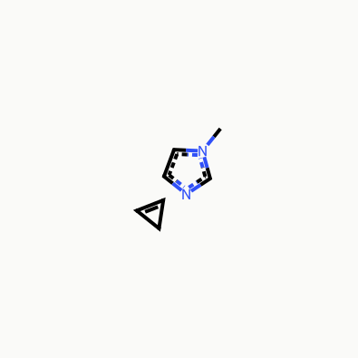 C1=CC1.Cn1ccnc1